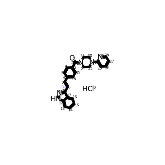 Cl.O=C(c1ccc(/C=C/c2n[nH]c3ccccc23)cc1)N1CCN(c2ccccn2)CC1